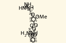 COc1cc(C(=O)OC(=O)C[C@@H](N)NS(=O)(=O)c2ccccc2)ccc1OCCCNC(=N)N